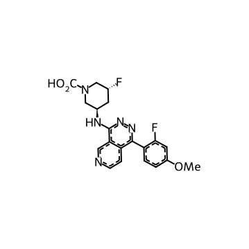 COc1ccc(-c2nnc(N[C@@H]3C[C@@H](F)CN(C(=O)O)C3)c3cnccc23)c(F)c1